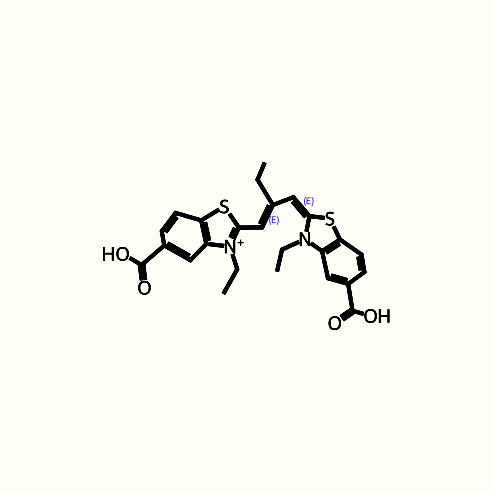 CCC(=C\c1sc2ccc(C(=O)O)cc2[n+]1CC)/C=C1/Sc2ccc(C(=O)O)cc2N1CC